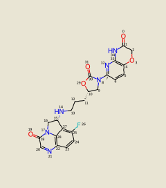 O=C1COc2ccc(N3C[C@H](CCCN[C@H]4Cn5c(=O)cnc6ccc(F)c4c65)OC3=O)nc2N1